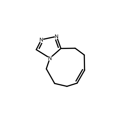 C1=C\CCc2nncn2CCC/1